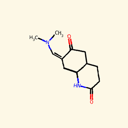 CN(C)C=C1CC2NC(=O)CCC2CC1=O